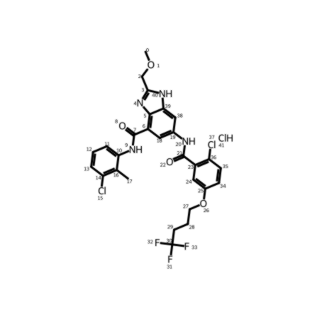 COCc1nc2c(C(=O)Nc3cccc(Cl)c3C)cc(NC(=O)c3cc(OCCCC(F)(F)F)ccc3Cl)cc2[nH]1.Cl